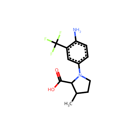 CC1CCN(c2ccc(N)c(C(F)(F)F)c2)C1C(=O)O